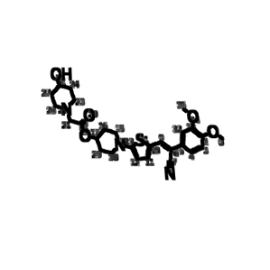 COc1ccc(C(C#N)=Cc2ccc(N3CCC(OC(=O)CN4CCC(O)CC4)CC3)s2)cc1OC